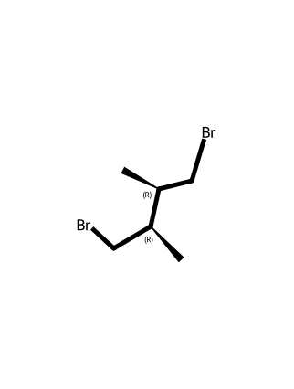 C[C@@H](CBr)[C@@H](C)CBr